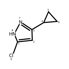 Clc1cc(C2CC2)n[nH]1